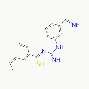 C=CC(=C\C=C/C)/C(S)=N/C(=N)Nc1cccc(C=N)c1